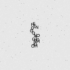 N#Cc1cc(Oc2ccc(-n3cc(C(=O)C(=O)NCC(=O)CO)c4ccccc43)cc2)ccc1C(F)(F)F